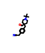 CC(C)(C)N1CCC(C=O)(Cc2ccc(CC#N)cc2)CC1